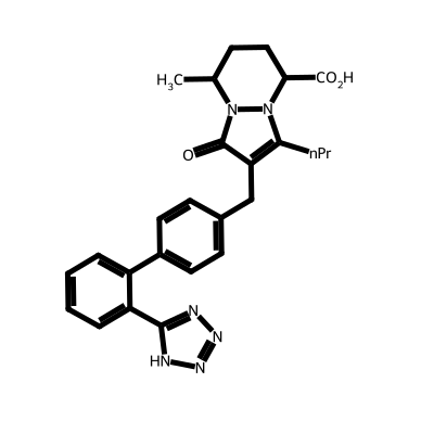 CCCc1c(Cc2ccc(-c3ccccc3-c3nnn[nH]3)cc2)c(=O)n2n1C(C(=O)O)CCC2C